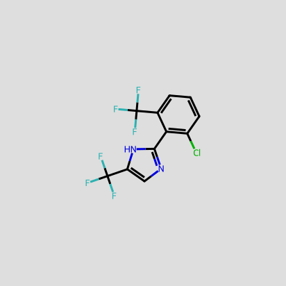 FC(F)(F)c1cnc(-c2c(Cl)cccc2C(F)(F)F)[nH]1